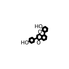 O=C1C(c2ccc(O)cc2)=CC(=O)c2c1cccc2-c1cccc(O)c1